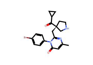 Cc1cc(=O)n(-c2ccc(Br)cc2)c(C[C@@]2(C(=O)C3CC3)CCNC2)n1